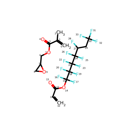 C=C(C)C(=O)OCC1CO1.C=CC(=O)OC(F)(F)C(F)(F)C(F)(F)C(F)(F)C(F)CC(F)(F)F